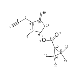 C#CCC1=C(C)[C@@H](OC(=O)C2C(C)(C)C2(C)C)CC1=C